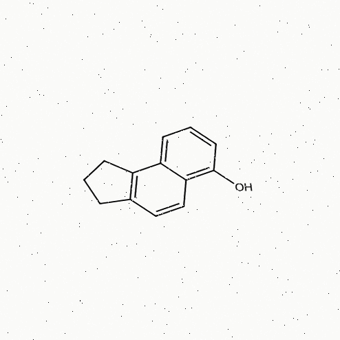 Oc1cccc2c3c(ccc12)CCC3